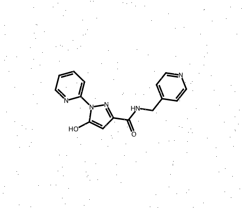 O=C(NCc1ccncc1)c1cc(O)n(-c2ccccn2)n1